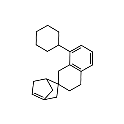 C1=C2CC(C1)C1(CCc3cccc(C4CCCCC4)c3C1)C2